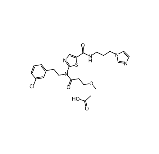 CC(=O)O.COCCC(=O)N(CCc1cccc(Cl)c1)c1ncc(C(=O)NCCCn2ccnc2)s1